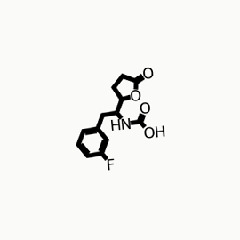 O=C(O)NC(Cc1cccc(F)c1)C1CCC(=O)O1